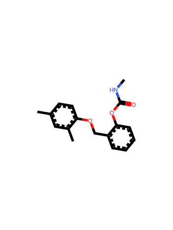 CNC(=O)Oc1ccccc1COc1ccc(C)cc1C